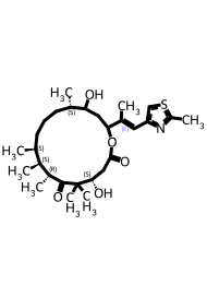 C/C(=C\c1csc(C)n1)C1CC(O)[C@@H](C)CCC[C@H](C)[C@H](C)[C@@H](C)C(=O)C(C)(C)[C@@H](O)CC(=O)O1